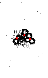 C[SiH](C)[Hf]([Cl])([Cl])([C]1(Cc2ccccc2)C(C(C)(C)C)=Cc2ccccc21)[C]1(Cc2ccccc2)C(C(C)(C)C)=Cc2ccccc21